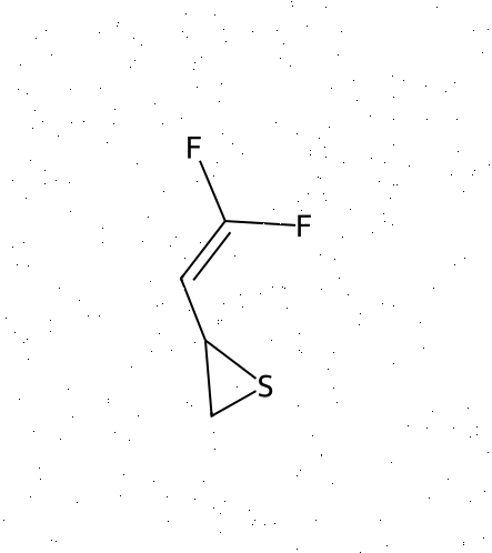 FC(F)=CC1CS1